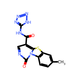 Cc1ccc2c(c1)sc1c(C(=O)Nc3nnn[nH]3)cnc(=O)n12